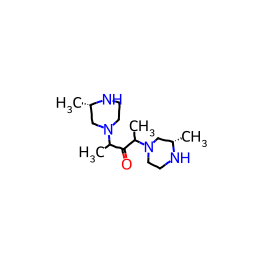 CC(C(=O)C(C)N1CCN[C@@H](C)C1)N1CCN[C@@H](C)C1